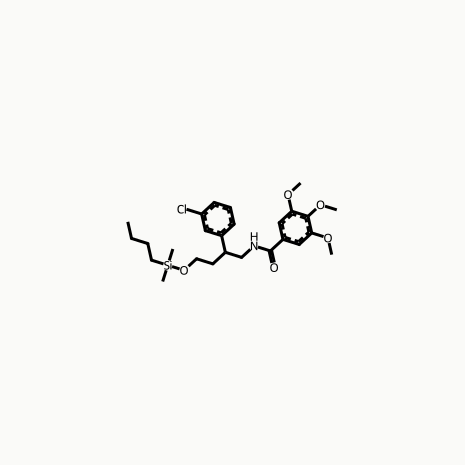 CCCC[Si](C)(C)OCCC(CNC(=O)c1cc(OC)c(OC)c(OC)c1)c1cccc(Cl)c1